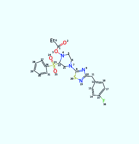 CCC(=O)ON1CCN(c2nc(Cc3ccc(F)cc3)ns2)CC1S(=O)(=O)c1ccccc1